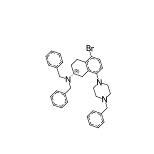 Brc1ccc(N2CCN(Cc3ccccc3)CC2)c2c1CC[C@@H](N(Cc1ccccc1)Cc1ccccc1)C2